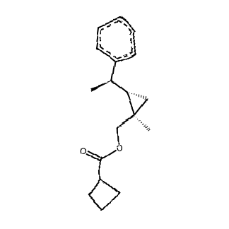 C[C@@H](c1ccccc1)[C@@H]1C[C@@]1(C)COC(=O)C1CCC1